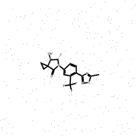 Cc1nc(-c2ccc(N3C(=O)C4(CC4)[C@@H](O)[C@@H]3C)cc2C(F)(F)F)no1